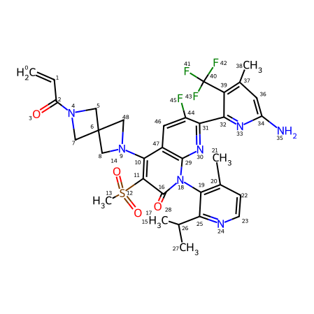 C=CC(=O)N1CC2(C1)CN(c1c(S(C)(=O)=O)c(=O)n(-c3c(C)ccnc3C(C)C)c3nc(-c4nc(N)cc(C)c4C(F)(F)F)c(F)cc13)C2